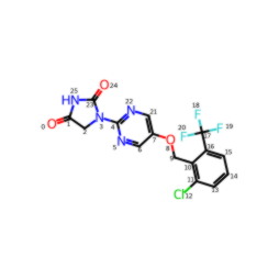 O=C1CN(c2ncc(OCc3c(Cl)cccc3C(F)(F)F)cn2)C(=O)N1